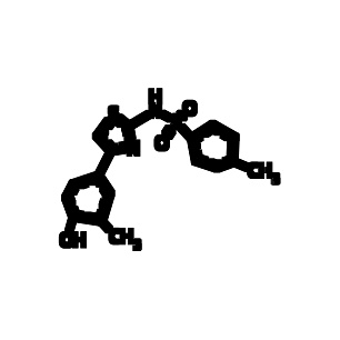 Cc1ccc(S(=O)(=O)Nc2nc(-c3ccc(O)c(C)c3)cs2)cc1